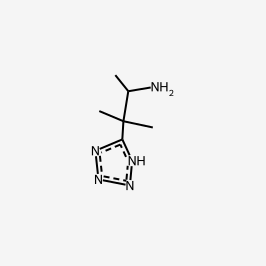 CC(N)C(C)(C)c1nnn[nH]1